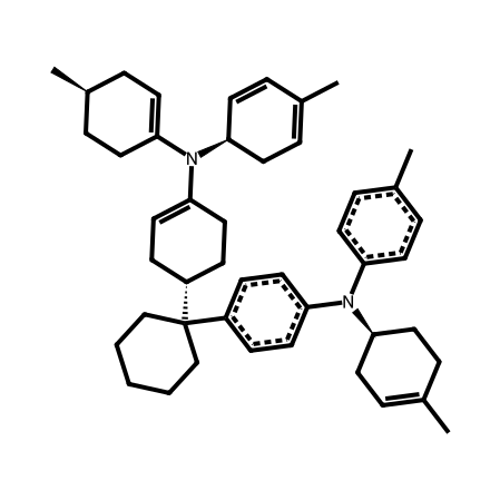 CC1=CC[C@@H](N(C2=CC[C@H](C)CC2)C2=CC[C@@H](C3(c4ccc(N(c5ccc(C)cc5)[C@@H]5CC=C(C)CC5)cc4)CCCCC3)CC2)C=C1